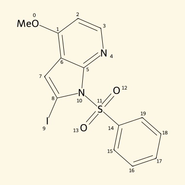 COc1ccnc2c1cc(I)n2S(=O)(=O)c1ccccc1